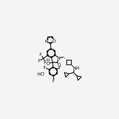 Cl.O=C1N(C[C@H]2C[C@H](NC(C3CC3)C3CC3)C2)c2cc(-c3ncco3)cc(C(F)(F)F)c2C1(O)c1c(F)cc(F)cc1F